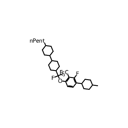 CCCCCC1CCC(C2CCC(C(F)(F)Oc3ccc(C4CCC(C)CC4)c(F)c3C(F)(F)F)CC2)CC1